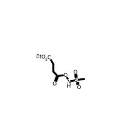 CCOC(=O)CCC(=O)ONS(C)(=O)=O